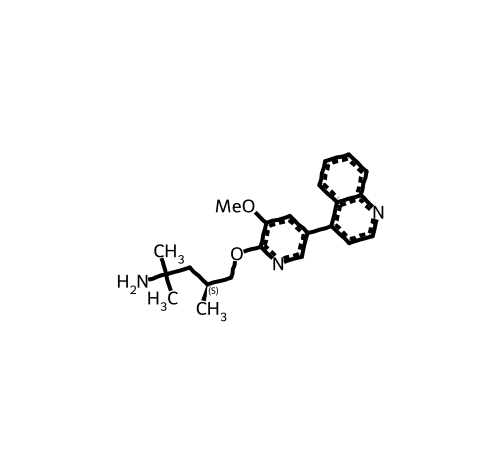 COc1cc(-c2ccnc3ccccc23)cnc1OC[C@@H](C)CC(C)(C)N